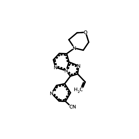 C=Cc1nc2c(N3CCOCC3)ccnn2c1-c1cncc(C#N)c1